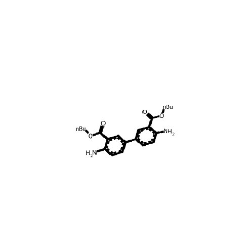 CCCCOC(=O)c1cc(-c2ccc(N)c(C(=O)OCCCC)c2)ccc1N